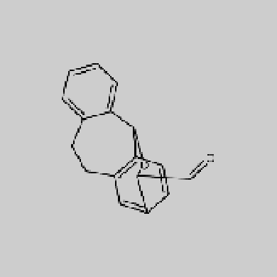 O=CC1OC2c3ccccc3CCc3cc1ccc32